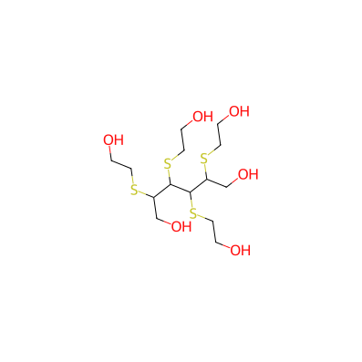 OCCSC(CO)C(SCCO)C(SCCO)C(CO)SCCO